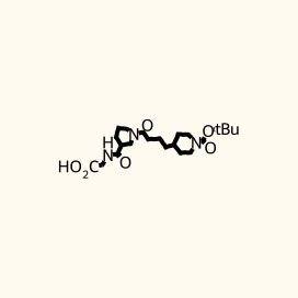 CC(C)(C)OC(=O)N1CCC(CCCC(=O)N2CCCC(C(=O)NCC(=O)O)C2)CC1